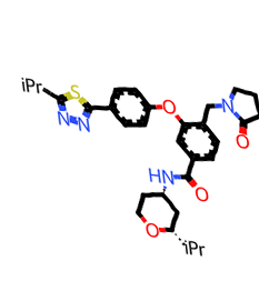 CC(C)c1nnc(-c2ccc(Oc3cc(C(=O)N[C@H]4CCO[C@@H](C(C)C)C4)ccc3CN3CCCC3=O)cc2)s1